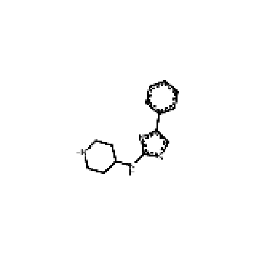 [c]1ccc(-c2csc(NC3CCNCC3)n2)cc1